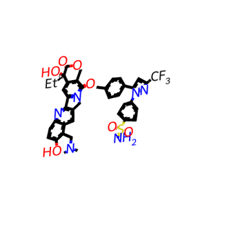 CC[C@@]1(O)C(=O)OCc2c1cc1n(c2=O)Cc2cc3c(CN(C)C)c(O)ccc3nc2-1.Cc1ccc(-c2cc(C(F)(F)F)nn2-c2ccc(S(N)(=O)=O)cc2)cc1